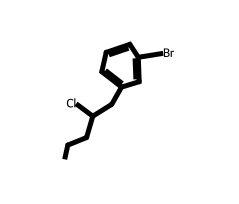 CCCC(Cl)Cc1cccc(Br)c1